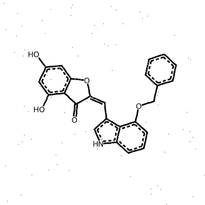 O=C1C(=Cc2c[nH]c3cccc(OCc4ccccc4)c23)Oc2cc(O)cc(O)c21